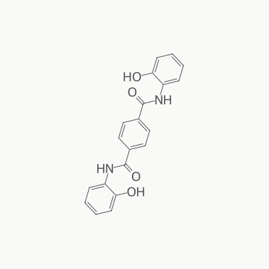 O=C(Nc1ccccc1O)c1ccc(C(=O)Nc2ccccc2O)cc1